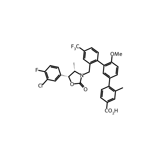 COc1ccc(-c2ccc(C(=O)O)cc2C)cc1-c1ccc(C(F)(F)F)cc1CN1C(=O)O[C@H](c2ccc(F)c(Cl)c2)[C@@H]1C